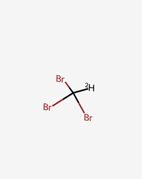 [2H]C(Br)(Br)Br